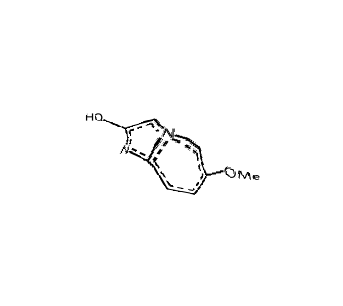 COc1ccc2nc(O)cn2c1